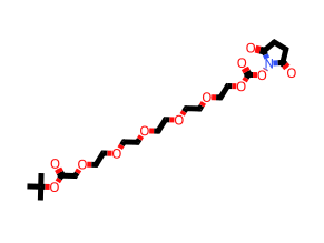 CC(C)(C)OC(=O)COCCOCCOCCOCCOCCOC(=O)ON1C(=O)CCC1=O